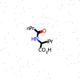 CCCC(=O)NC(C(=O)O)C(C)C